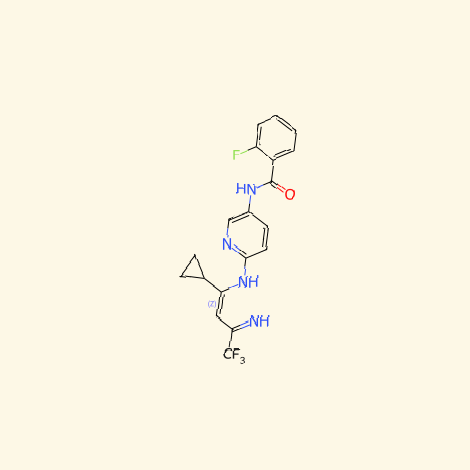 N=C(/C=C(\Nc1ccc(NC(=O)c2ccccc2F)cn1)C1CC1)C(F)(F)F